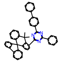 CC1(C)c2ccccc2C2(c3ccccc3-c3ccccc32)c2cccc(-c3nc(-c4ccccc4)nc(-c4ccc(-c5ccccc5)cc4)n3)c21